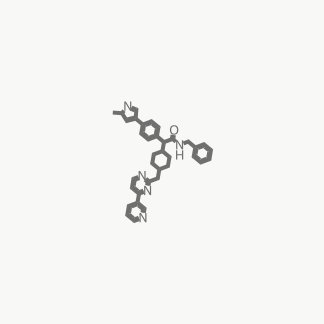 CC1C=C(c2ccc(C(C(=O)NCc3ccccc3)C3CCC(Cc4nccc(-c5cccnc5)n4)CC3)cc2)C=N1